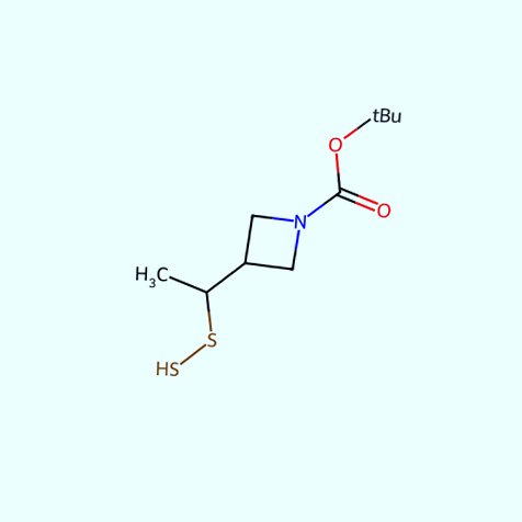 CC(SS)C1CN(C(=O)OC(C)(C)C)C1